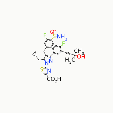 CC(C)(O)C#Cc1cc(-c2nn(-c3nc(C(=O)O)cs3)c(CC3CC3)c2Cc2ccc([S+](N)[O-])c(F)c2)ccc1F